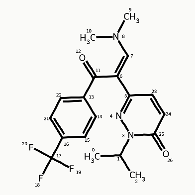 CC(C)n1nc(C(=CN(C)C)C(=O)c2ccc(C(F)(F)F)cc2)ccc1=O